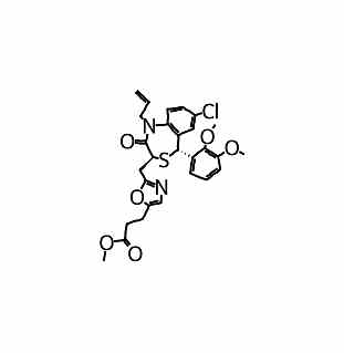 C=CCN1C(=O)[C@H](Cc2ncc(CCC(=O)OC)o2)S[C@@H](c2cccc(OC)c2OC)c2cc(Cl)ccc21